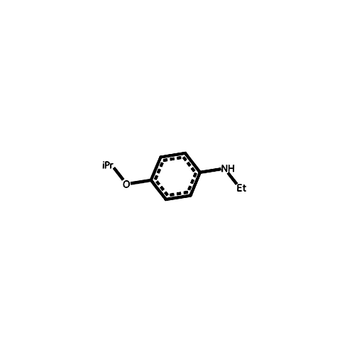 CCNc1ccc(OC(C)C)cc1